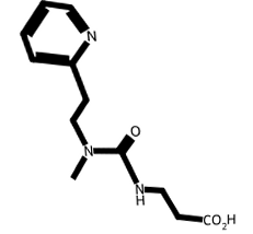 CN(CCc1ccccn1)C(=O)NCCC(=O)O